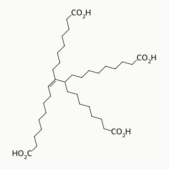 O=C(O)CCCCCCC/C=C(/CCCCCCCC(=O)O)C(CCCCCCCCC(=O)O)CCCCCCCC(=O)O